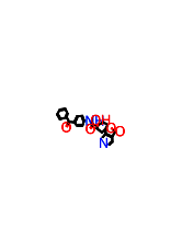 O=C(c1ccccc1)c1ccc(NC(=O)C2(O)CCC3(CC2)OC(=O)c2ccncc23)cc1